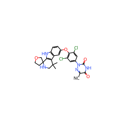 CC1(C)CNC2(CCOC2)c2[nH]c3ccc(Oc4c(Cl)cc(-n5nc(C#N)c(=O)[nH]c5=O)cc4Cl)cc3c21